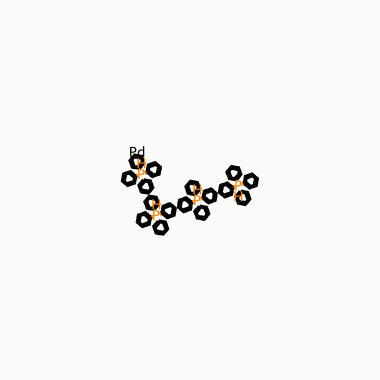 [Pd].c1ccc([PH](c2ccccc2)(c2ccccc2)c2ccccc2)cc1.c1ccc([PH](c2ccccc2)(c2ccccc2)c2ccccc2)cc1.c1ccc([PH](c2ccccc2)(c2ccccc2)c2ccccc2)cc1.c1ccc([PH](c2ccccc2)(c2ccccc2)c2ccccc2)cc1